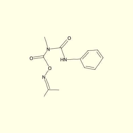 CC(C)=NOC(=O)N(C)C(=O)Nc1ccccc1